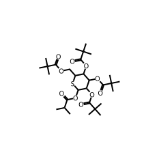 CC(C)C(=O)OC1SC(COC(=O)C(C)(C)C)C(OC(=O)C(C)(C)C)C(OC(=O)C(C)(C)C)C1OC(=O)C(C)(C)C